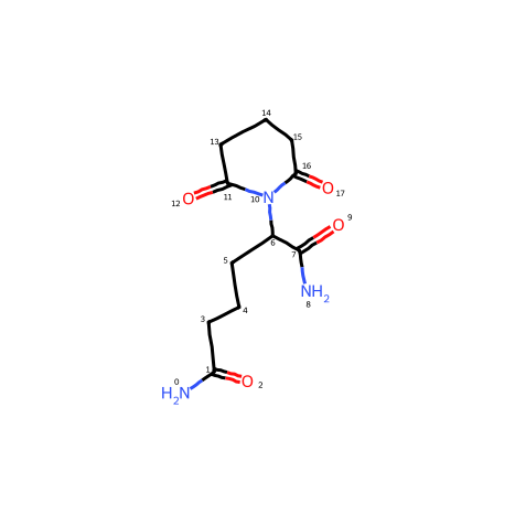 NC(=O)CCCC(C(N)=O)N1C(=O)CCCC1=O